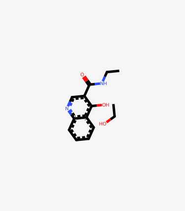 CCNC(=O)c1cnc2ccccc2c1O.CCO